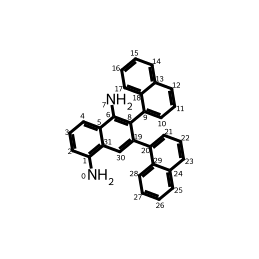 Nc1cccc2c(N)c(-c3cccc4ccccc34)c(-c3cccc4ccccc34)cc12